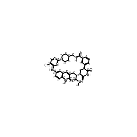 C=C1CCC(c2cccc(C(=O)NCC3CCN(c4ncc(Cl)c(Nc5ccc6c(c5)C=C(CCC(=O)NC)C(=C)N6C)n4)CC3)c2)C(=O)N1